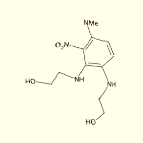 CNc1ccc(NCCO)c(NCCO)c1[N+](=O)[O-]